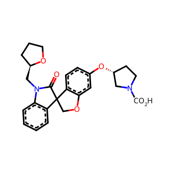 O=C(O)N1CC[C@@H](Oc2ccc3c(c2)OCC32C(=O)N(C[C@H]3CCCO3)c3ccccc32)C1